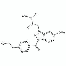 CCCCN(CC)C(=O)Cn1nc(C(=O)c2ccc(CCO)nc2)c2ccc(OC)cc21